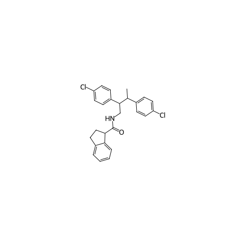 CC(c1ccc(Cl)cc1)C(CNC(=O)C1CCc2ccccc21)c1ccc(Cl)cc1